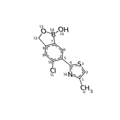 Cc1csc(-c2cc3c(cc2Cl)COB3O)n1